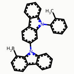 Bc1cccc2c3ccccc3n(-c3ccc4c5ccccc5n(-c5ccccc5C)c4c3)c12